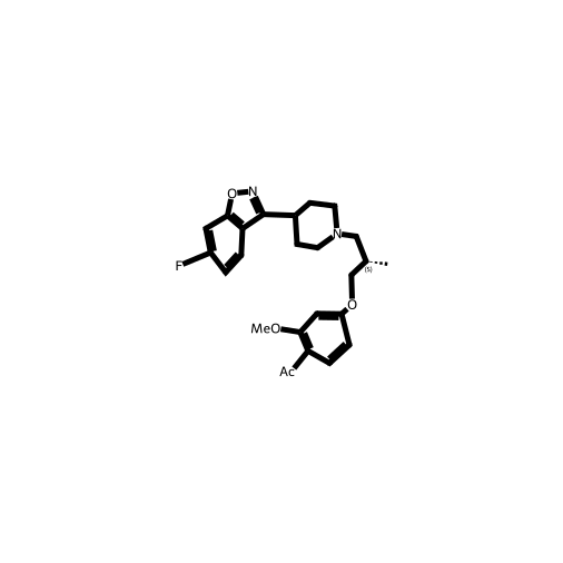 COc1cc(OC[C@@H](C)CN2CCC(c3noc4cc(F)ccc34)CC2)ccc1C(C)=O